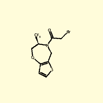 O=C(CBr)N1Cc2sccc2OC[C@H]1C(F)(F)F